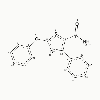 NC(=O)c1sc(Oc2ccccc2)nc1-c1ccccc1